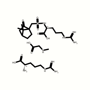 CC1(C)C2CCC1(CS(=O)(=O)N[C@@H](CCCNC(=N)N)C(=O)O)C(=O)C2.CNCC(=O)O.N=C(N)NCCC[C@H](N)C(=O)O